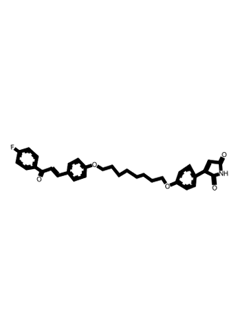 O=C1C=C(c2ccc(OCCCCCCCCOc3ccc(C=CC(=O)c4ccc(F)cc4)cc3)cc2)C(=O)N1